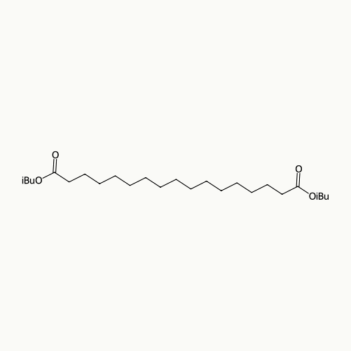 CC(C)COC(=O)CCCCCCCCCCCCCCCC(=O)OCC(C)C